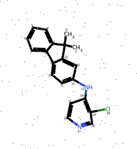 CC1(C)c2ccccc2-c2ccc(Nc3ccncc3Cl)cc21